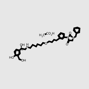 CC(=O)O.O=C1CN(Cc2ccccc2)C(=O)N1c1cccc(CCCCOCCCCCCNC[C@H](O)c2ccc(O)c(CO)c2)c1